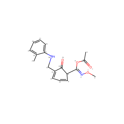 CON=C(OC(C)=O)C1C=CC=C(CNc2ccccc2C)C1=O